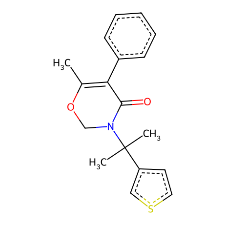 CC1=C(c2ccccc2)C(=O)N(C(C)(C)c2ccsc2)CO1